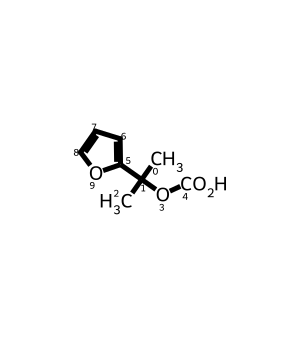 CC(C)(OC(=O)O)c1ccco1